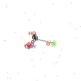 CC(C)[C@H](NC(=O)Oc1ccc2c(c1)C[C@@H](CCCCCCCCC[S+]([O-])CCCC(F)(F)C(F)(F)F)[C@@H]1C2CC[C@]2(C)[C@@H](O)CC[C@@H]12)C(=O)OC(C)(C)C